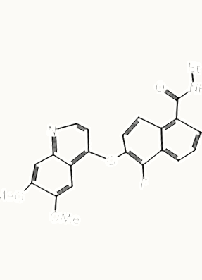 CCNC(=O)c1cccc2c(F)c(Oc3ccnc4cc(OC)c(OC)cc34)ccc12